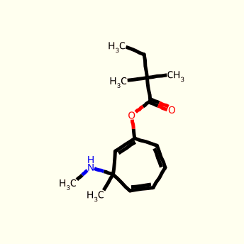 CCC(C)(C)C(=O)OC1=CC(C)(NC)C=CC=C1